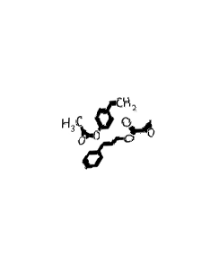 C=Cc1ccc(OC2OC2C)cc1.O=C(OCC=Cc1ccccc1)C1=CO1